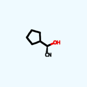 N#C[C@H](O)C1CCCC1